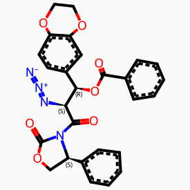 [N-]=[N+]=N[C@H](C(=O)N1C(=O)OC[C@@H]1c1ccccc1)[C@H](OC(=O)c1ccccc1)c1ccc2c(c1)OCCO2